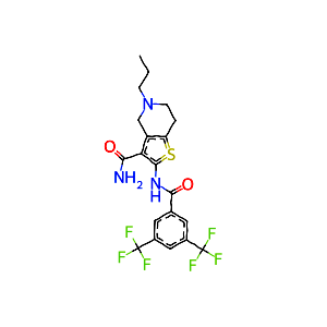 CCCN1CCc2sc(NC(=O)c3cc(C(F)(F)F)cc(C(F)(F)F)c3)c(C(N)=O)c2C1